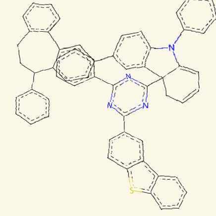 C1=CCC2(c3nc(-c4ccccc4)nc(-c4ccc5sc6ccccc6c5c4)n3)C(=C1)N(c1ccccc1)c1ccc(-c3ccc4c(c3)-c3ccccc3CCC4c3ccccc3)cc12